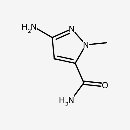 Cn1nc(N)cc1C(N)=O